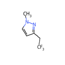 Cn1ccc(CC(F)(F)F)n1